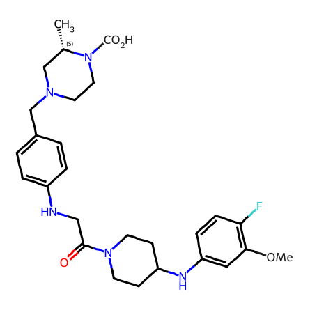 COc1cc(NC2CCN(C(=O)CNc3ccc(CN4CCN(C(=O)O)[C@@H](C)C4)cc3)CC2)ccc1F